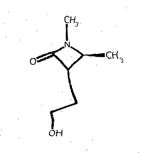 C[C@H]1C(CCO)C(=O)N1C